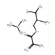 C=C(C)C(=O)OCC(N)C(C)Cl.CN(C)C